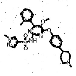 COc1c(Oc2ccc(C3CCN(C)CC3)cc2)nc(NS(=O)(=O)c2cnn(C)c2)nc1-c1ccccc1C